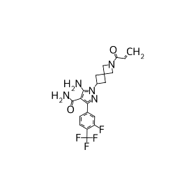 C=CC(=O)N1CC2(CC(n3nc(-c4ccc(C(F)(F)F)c(F)c4)c(C(N)=O)c3N)C2)C1